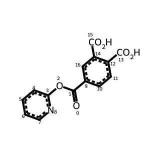 O=C(Oc1ccccn1)c1ccc(C(=O)O)c(C(=O)O)c1